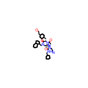 N#CCN(C(=O)NCc1ccccc1)N1CC(=O)N2[C@@H](Cc3ccc(CC=O)cc3)C(=O)N(Cc3cccc4ccccc34)C[C@@H]21